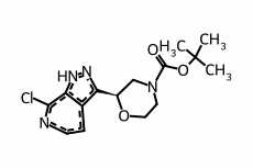 CC(C)(C)OC(=O)N1CCO[C@@H](c2n[nH]c3c(Cl)nccc23)C1